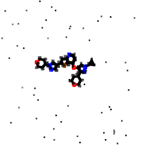 c1cc(Oc2cn(C3CC3)nc2C2CCOCC2)c2sc(-c3cnn(C4CCOCC4)c3)cc2n1